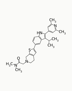 Cc1cc(-c2[nH]c3ccc(-c4cc5c(s4)CN(CC(=O)N(C)C)CC5)cc3c2C(C)C)cc(C)n1